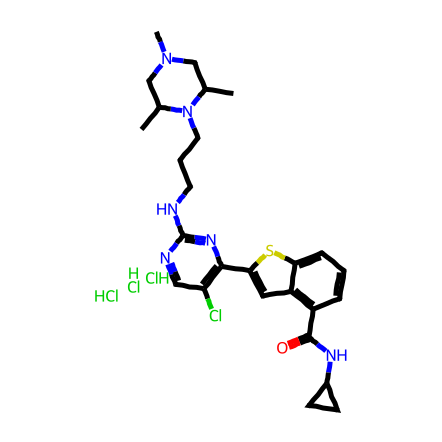 CC1CN(C)CC(C)N1CCCNc1ncc(Cl)c(-c2cc3c(C(=O)NC4CC4)cccc3s2)n1.Cl.Cl.Cl